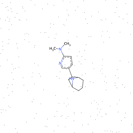 CN(C)c1ccc(C2CC3CCCC2N3)cn1